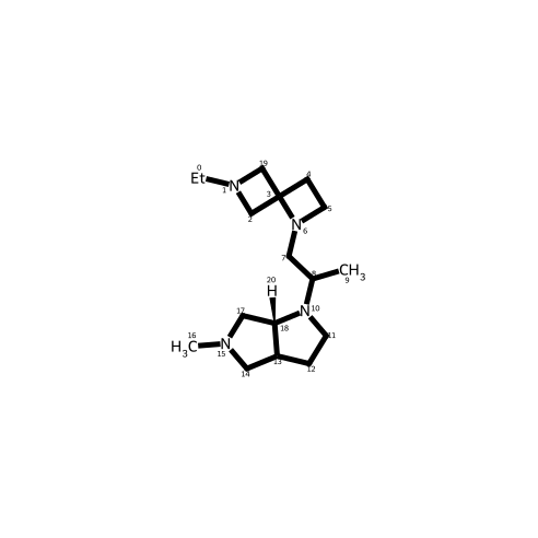 CCN1CC2(CCN2CC(C)N2CCC3CN(C)C[C@@H]32)C1